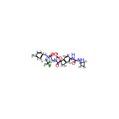 C[C@H](N(Cc1ccc(F)cc1)C(=O)CN1C(=O)O[C@@]2(CCc3cc(NC(=O)NC4CCC4)ccc32)C1=O)C(F)(F)F